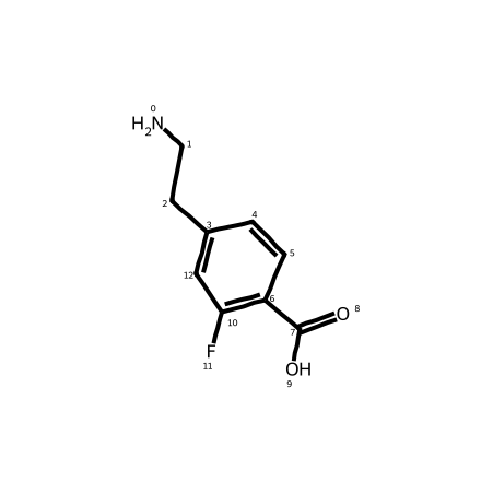 NCCc1ccc(C(=O)O)c(F)c1